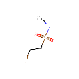 CC(C)NS(=O)(=O)CCS